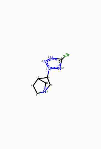 Brc1nnn(C2CN3CCC2C3)n1